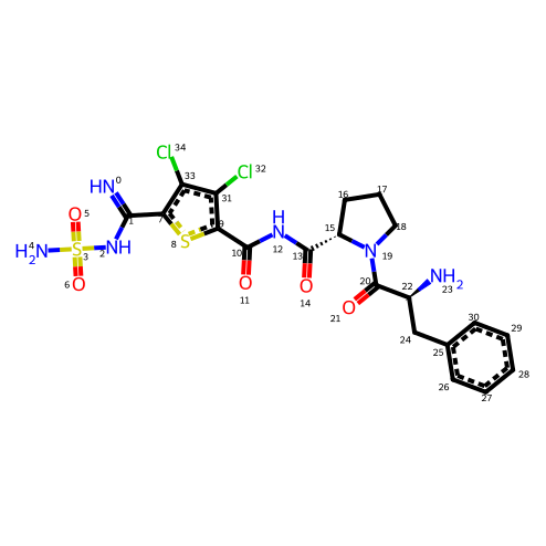 N=C(NS(N)(=O)=O)c1sc(C(=O)NC(=O)[C@@H]2CCCN2C(=O)[C@@H](N)Cc2ccccc2)c(Cl)c1Cl